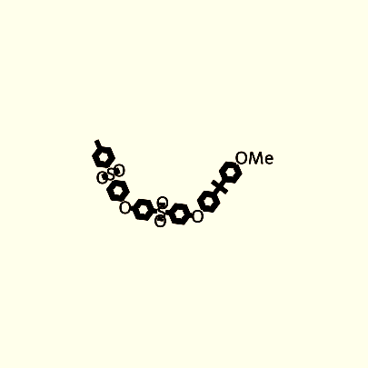 COc1ccc(C(C)(C)c2ccc(Oc3ccc(S(=O)(=O)c4ccc(Oc5ccc(S(=O)(=O)c6ccc(C)cc6)cc5)cc4)cc3)cc2)cc1